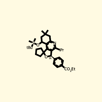 CCOC(=O)c1ccc([C@H]2OC3(CCCC3)c3c4c(nc(C(C)C)c32)CC(C)(C)CC4O[Si](C)(C)C(C)(C)C)cc1